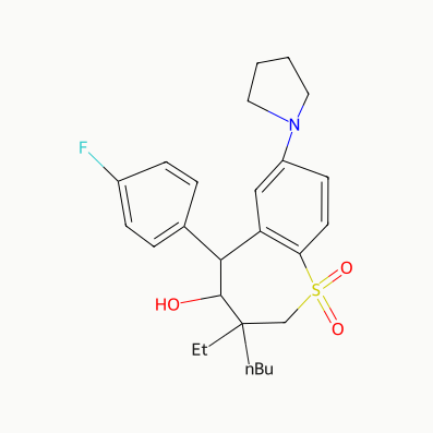 CCCCC1(CC)CS(=O)(=O)c2ccc(N3CCCC3)cc2C(c2ccc(F)cc2)C1O